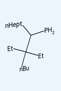 CCCCCCCC(P)C(CC)(CC)CCCC